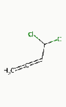 C=C=CC(Cl)Cl